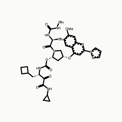 COc1ccc2c(O[C@@H]3C[C@H](OC(=O)N[C@@H](CC4CCC4)C(=O)C(=O)NC4CC4)N(C(=O)[C@@H](NC(=O)NC(C)(C)C)C(C)(C)C)C3)cc(-n3cccn3)nc2c1